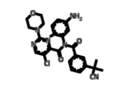 Cc1ccc(N)cc1N(C(=O)c1cccc(C(C)(C)C#N)c1)C(=O)c1nc(N2CCOCC2)ncc1Cl